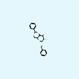 OC1[C@H]2OC(c3ccccc3)OCC2O[C@@H](OCc2ccccc2)[C@@H]1O